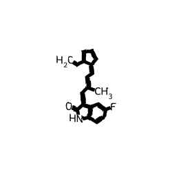 C=CC1=CC=C/C1=C/C=C(C)/C=C1/C(=O)Nc2ccc(F)cc21